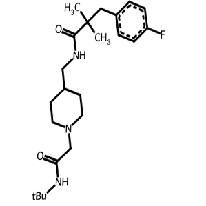 CC(C)(C)NC(=O)CN1CCC(CNC(=O)C(C)(C)Cc2ccc(F)cc2)CC1